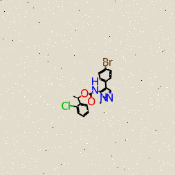 C[C@@H](OC(=O)Nc1c(-c2ccc(Br)cc2)cnn1C)c1ccccc1Cl